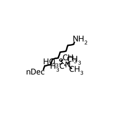 CCCCCCCCCCCCCCCCCCN.CN(C)C.CS(=O)(=O)O